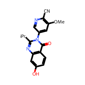 COc1cc(-n2c(C(C)C)nc3cc(O)ccc3c2=O)cnc1C#N